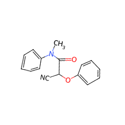 CN(C(=O)C(C#N)Oc1ccccc1)c1ccccc1